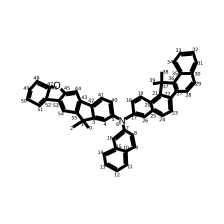 CC1(C)c2cc(N(c3ccc4ccccc4c3)c3ccc4c5c(ccc4c3)-c3ccc4ccccc4c3C5(C)C)ccc2-c2cc3oc4ccccc4c3cc21